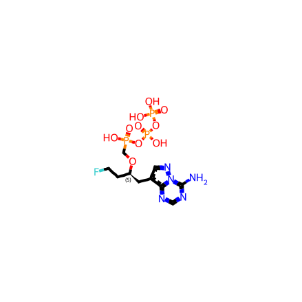 Nc1ncnc2c(C[C@@H](CCF)OCP(=O)(O)OP(=O)(O)OP(=O)(O)O)cnn12